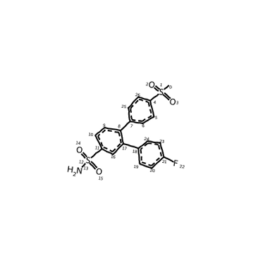 CS(=O)(=O)c1ccc(-c2ccc(S(N)(=O)=O)cc2-c2ccc(F)cc2)cc1